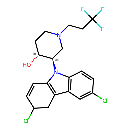 O[C@@H]1CCN(CCC(F)(F)F)C[C@H]1n1c2c(c3cc(Cl)ccc31)CC(Cl)C=C2